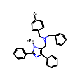 CCCCn1c(-c2ccccc2)nc(-c2ccccc2)c1CN(Cc1ccccc1)Cc1ccc(C(C)=O)cc1